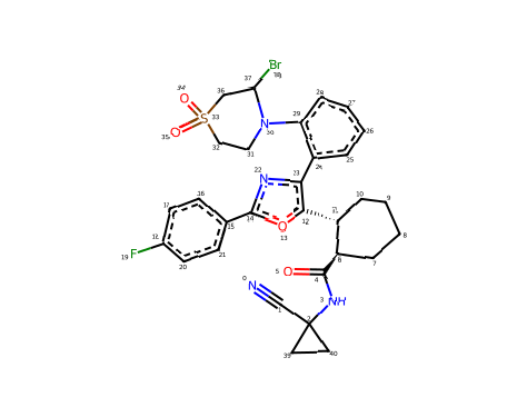 N#CC1(NC(=O)[C@@H]2CCCC[C@H]2c2oc(-c3ccc(F)cc3)nc2-c2ccccc2N2CCS(=O)(=O)CC2Br)CC1